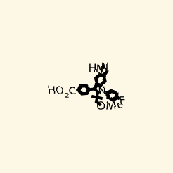 COCC(C)(C)c1c(-c2ccc(C(=O)O)cc2)c2cc3[nH]ncc3cc2n1-c1ccc(F)cc1